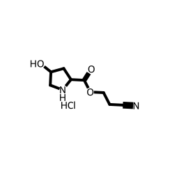 Cl.N#CCCOC(=O)C1CC(O)CN1